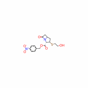 O=C(OCc1ccc([N+](=O)[O-])cc1)[C@H]1C(SCCO)CC2CC(=O)N21